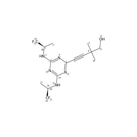 C[C@@H](Nc1nc(C#CC(C)(C)CO)nc(N[C@H](C)C(F)(F)F)n1)C(F)(F)F